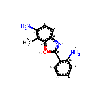 Cc1c(N)ccc2nc(-c3ccccc3N)oc12